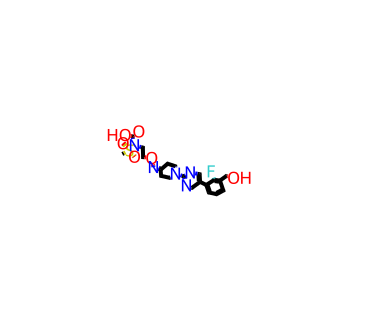 CS(=O)(=O)N(CCON=C1CCN(c2ncc(-c3cccc(CO)c3F)cn2)CC1)C(=O)O